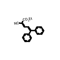 CCOC(=O)/C(C#N)=C\C=C(c1ccccc1)c1ccccc1